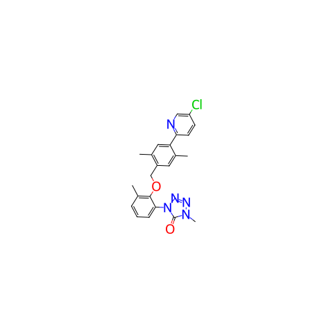 Cc1cc(-c2ccc(Cl)cn2)c(C)cc1COc1c(C)cccc1-n1nnn(C)c1=O